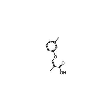 CC(=COc1cccc(C)c1)C(=O)O